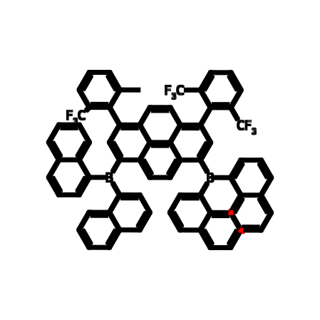 Cc1cccc(C(F)(F)F)c1-c1cc(B(c2cccc3ccccc23)c2cccc3ccccc23)c2ccc3c(B(c4cccc5ccccc45)c4cccc5ccccc45)cc(-c4c(C(F)(F)F)cccc4C(F)(F)F)c4ccc1c2c34